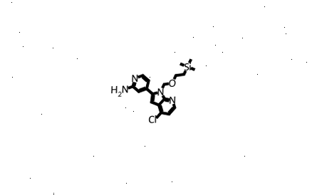 C[Si](C)(C)CCOCn1c(-c2ccnc(N)c2)cc2c(Cl)ccnc21